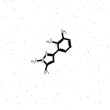 Cc1cccc(-c2cc(C(F)(F)F)n(C)n2)c1C